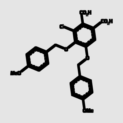 COc1ccc(COc2cc(C(=O)O)c(C(=O)O)c(Cl)c2OCc2ccc(OC)cc2)cc1